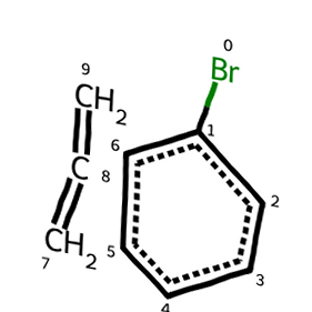 Brc1ccccc1.C=C=C